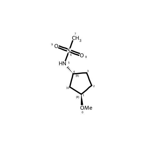 CO[C@@H]1CC[C@@H](NS(C)(=O)=O)C1